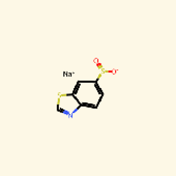 O=S([O-])c1ccc2ncsc2c1.[Na+]